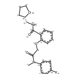 CN(C(=O)COc1ccccc1C(=O)NC[C@@H]1CCCO1)c1ccc(F)cc1